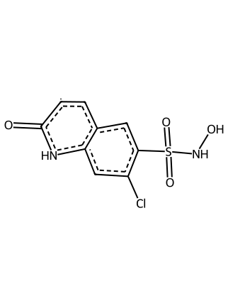 O=c1[c]cc2cc(S(=O)(=O)NO)c(Cl)cc2[nH]1